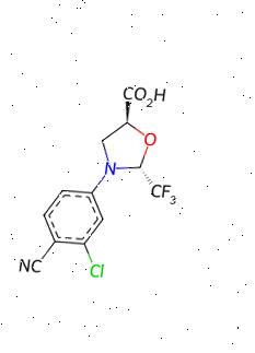 N#Cc1ccc(N2C[C@@H](C(=O)O)O[C@@H]2C(F)(F)F)cc1Cl